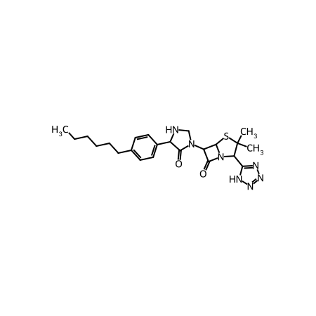 CCCCCCc1ccc(C2NCN(C3C(=O)N4C3SC(C)(C)C4c3nnn[nH]3)C2=O)cc1